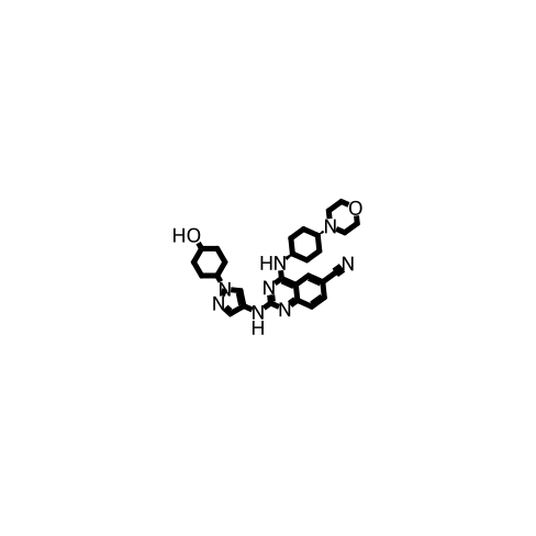 N#Cc1ccc2nc(Nc3cnn(C4CCC(O)CC4)c3)nc(N[C@H]3CC[C@H](N4CCOCC4)CC3)c2c1